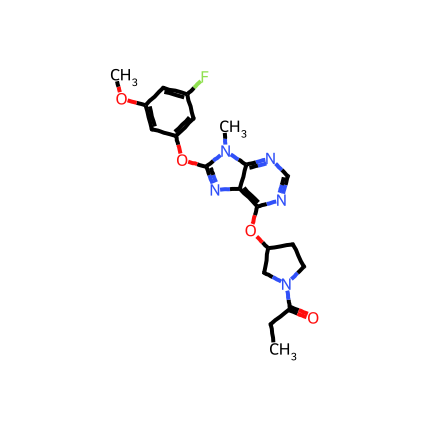 CCC(=O)N1CCC(Oc2ncnc3c2nc(Oc2cc(F)cc(OC)c2)n3C)C1